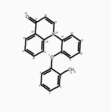 Cc1ccccc1Oc1ccccc1-n1ccc(=O)c2ccccc21